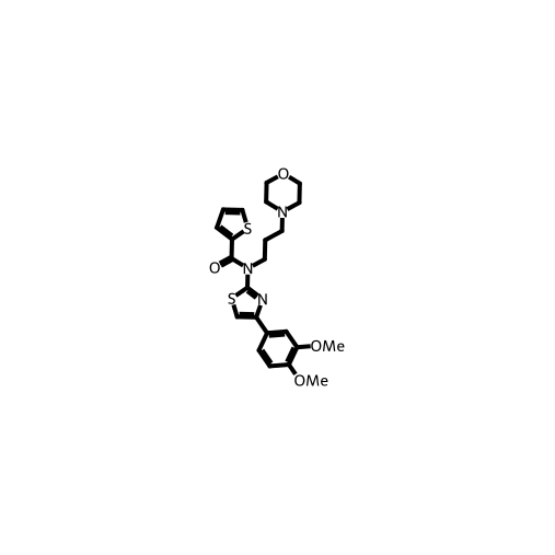 COc1ccc(-c2csc(N(CCCN3CCOCC3)C(=O)c3cccs3)n2)cc1OC